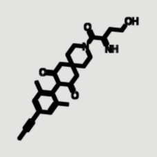 CC#Cc1cc(C)c(C2C(=O)CC3(CCN(C(=O)C(=N)CCO)CC3)CC2=O)c(C)c1